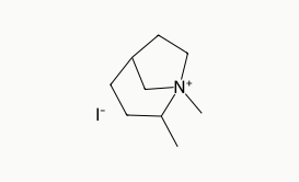 CC1CCC2CC[N+]1(C)C2.[I-]